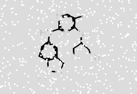 CCC(CO)Nc1nc(Nc2ccc3c(c2)COB3O)ncc1C